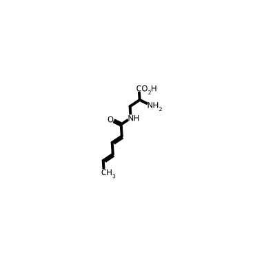 C/C=C/C=C/C(=O)NCC(N)C(=O)O